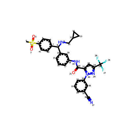 CS(=O)(=O)c1ccc(C(NCC2CC2)c2cccc(NC(=O)c3cc(C(F)(F)F)nn3-c3cccc(C#N)c3)c2)cc1